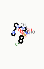 C[C@@H](C(=O)N1CCCCC1CCN1CCCC1)N1CC[C@H](NS(=O)(=O)c2ccc3cc(Cl)ccc3c2)C1=O.O=CO